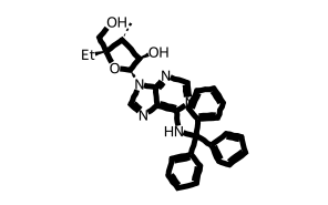 CC[C@]1(CO)O[C@@H](n2cnc3c(NC(c4ccccc4)(c4ccccc4)c4ccccc4)ncnc32)[C@H](O)[C@H]1C